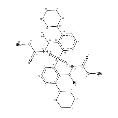 CCC(NC(=O)OC(C)(C)C)c1c(C2CCCCC2)cccc1S(=O)(=O)c1cccc(C2CCCCC2)c1C(CC)NC(=O)OC(C)(C)C